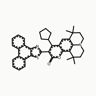 CC1(C)CCN2CCC(C)(C)c3c2c1cc1c(C2CCCC2)c(-c2nc4c5ccccc5c5ccccc5c4s2)c(=O)oc31